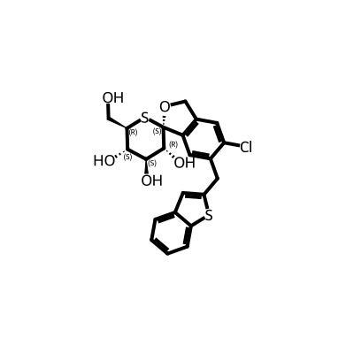 OC[C@H]1S[C@]2(OCc3cc(Cl)c(Cc4cc5ccccc5s4)cc32)[C@H](O)[C@@H](O)[C@@H]1O